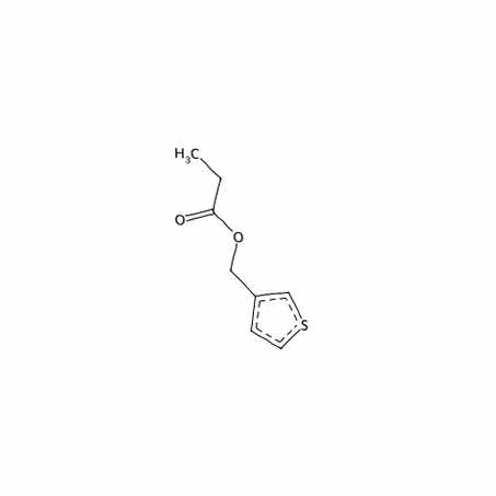 CCC(=O)OCc1ccsc1